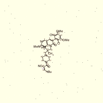 CNc1ncc2cc(-c3c(Cl)c(OC)cc(OC)c3Cl)c(=O)n(CC(C)(C)CN3CCN(C(=O)/C(C#N)=C\C(C)(C)C)CC3)c2n1